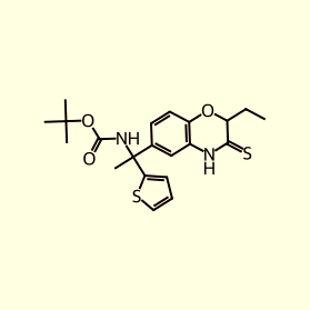 CCC1Oc2ccc(C(C)(NC(=O)OC(C)(C)C)c3cccs3)cc2NC1=S